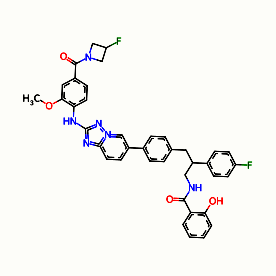 COc1cc(C(=O)N2CC(F)C2)ccc1Nc1nc2ccc(-c3ccc(CC(CNC(=O)c4ccccc4O)c4ccc(F)cc4)cc3)cn2n1